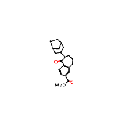 COC(=O)c1ccc2c(c1)CCCC(C1CC3CCC(C3)C1)C2=O